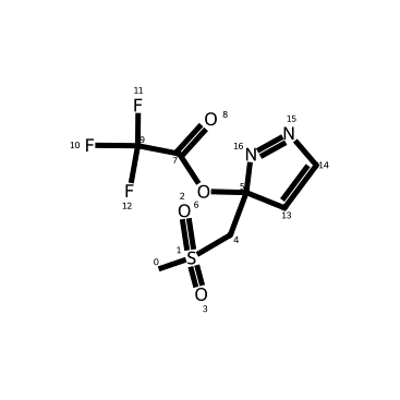 CS(=O)(=O)CC1(OC(=O)C(F)(F)F)C=CN=N1